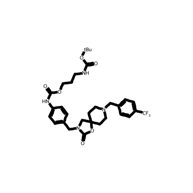 CC(C)(C)OC(=O)NCCCOC(=O)Nc1ccc(CN2CC3(CCN(Cc4ccc(C(F)(F)F)cc4)CC3)OC2=O)cc1